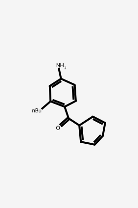 CCCCc1cc(N)ccc1C(=O)c1ccccc1